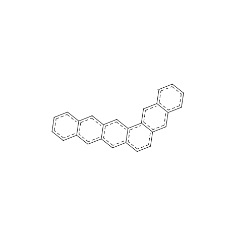 [c]1cccc2cc3ccc4cc5cc6ccccc6cc5cc4c3cc12